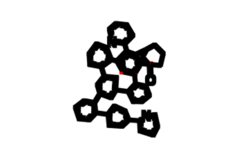 O=C1C2CCC(CC2)C2C=C(c3ccccc3-c3cc(-c4ccccc4-c4ccc(-c5ccccn5)cc4)cc(-c4ccccc4-c4ccc(-c5ccccn5)cc4)c3)C=CC12